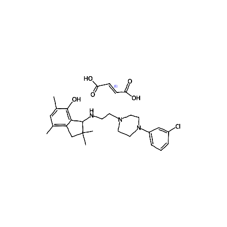 Cc1cc(C)c2c(c1O)C(NCCN1CCN(c3cccc(Cl)c3)CC1)C(C)(C)C2.O=C(O)/C=C/C(=O)O